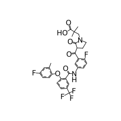 Cc1cc(F)ccc1Oc1ccc(C(F)(F)F)cc1C(=O)Nc1ccc(F)c(C(=O)C2CCN(CC(C)(C)C(=O)O)C2=O)c1